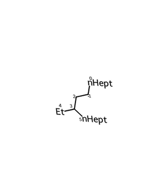 CCCCCCC[CH]CC(CC)CCCCCCC